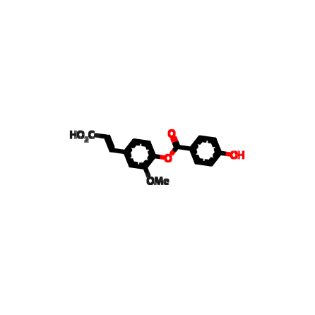 COc1cc(C=CC(=O)O)ccc1OC(=O)c1ccc(O)cc1